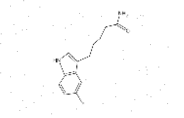 NC(=O)CCCCc1c[nH]c2ccc(F)cc12